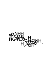 COc1cccc([C@@H](CN)Nc2c(CO)cnc3c(C(=O)NC(C)Oc4ccc([C@@H](CN)Nc5c(CO)cnc6c(C(N)=O)cccc56)cc4)cccc23)c1